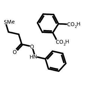 CSCCC(=O)ONc1ccccc1.O=C(O)c1ccccc1C(=O)O